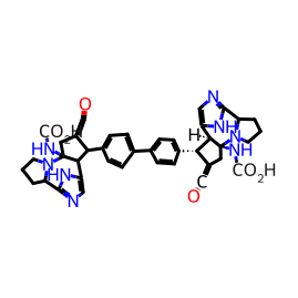 O=C=C1CC2(NC(=O)O)C(c3cnc([nH]3)C3CCCN32)C1c1ccc(-c2ccc([C@H]3C(=C=O)C[C@]4(NC(=O)O)[C@@H]3c3cnc([nH]3)C3CCCN34)cc2)cc1